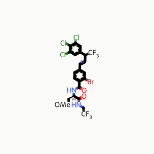 COC[C@@H](NC(=O)c1ccc(/C=C/C(c2cc(Cl)c(Cl)c(Cl)c2)C(F)(F)F)cc1Br)C(=O)NCC(F)(F)F